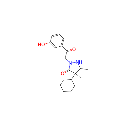 CC1NN(CC(=O)c2cccc(O)c2)C(=O)C1(C)C1CCCCC1